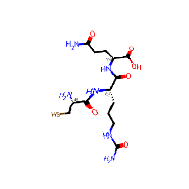 NC(=O)CC[C@H](NC(=O)[C@H](CCCNC(N)=O)NC(=O)[C@@H](N)CS)C(=O)O